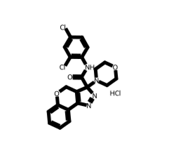 Cl.O=C(Nc1ccc(Cl)cc1Cl)C1(N2CCOCC2)N=NC2=C1COc1ccccc12